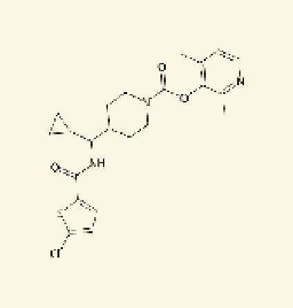 Cc1ccnc(C)c1OC(=O)N1CCC(C(NC(=O)c2ccc(Cl)s2)C2CC2)CC1